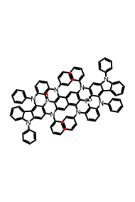 S=P12c3c4cccc3N(c3ccccc3)c3c1c(cc1c3c3ccccc3n1-c1ccccc1)N(c1ccccc1)c1cc3c5c6c(cc3c(c12)N4c1ccccc1)N(c1ccccc1)c1cc2c(c3c1P6(=S)c1c(cccc1N3c1ccccc1)N5c1ccccc1)c1ccccc1n2-c1ccccc1